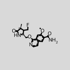 COc1cc2c(OC[C@H]3NC(=O)[C@@H](C)C3CF)nccc2cc1C(N)=O